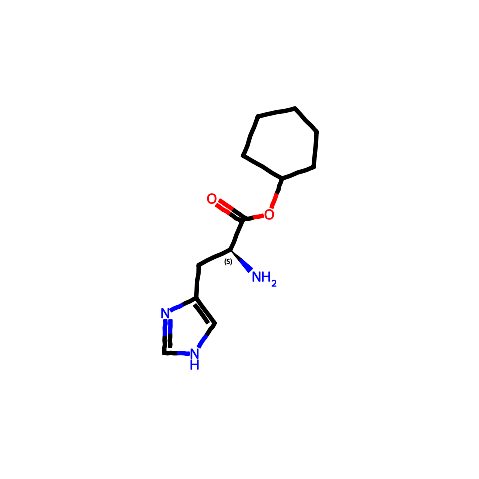 N[C@@H](Cc1c[nH]cn1)C(=O)OC1CCCCC1